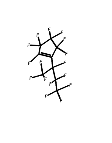 FC1=C(C(F)(C(F)(F)F)C(F)(F)C(F)(F)F)C(F)(F)C(F)(F)C1(F)F